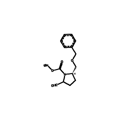 CC(C)(C)OC(=O)N1C(C=O)CC[C@H]1COCc1ccccc1